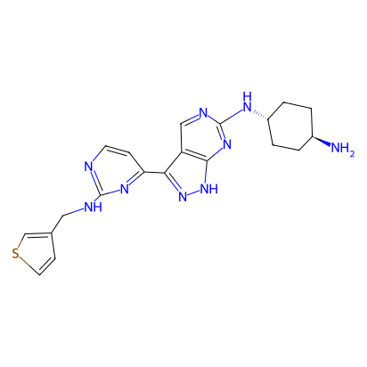 N[C@H]1CC[C@H](Nc2ncc3c(-c4ccnc(NCc5ccsc5)n4)n[nH]c3n2)CC1